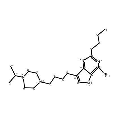 CCCCc1nc(N)c2[nH]cc(CCCCN3CCN(C(C)C)CC3)c2n1